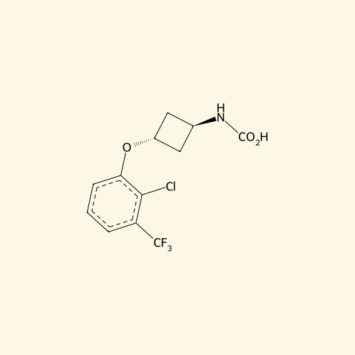 O=C(O)N[C@H]1C[C@H](Oc2cccc(C(F)(F)F)c2Cl)C1